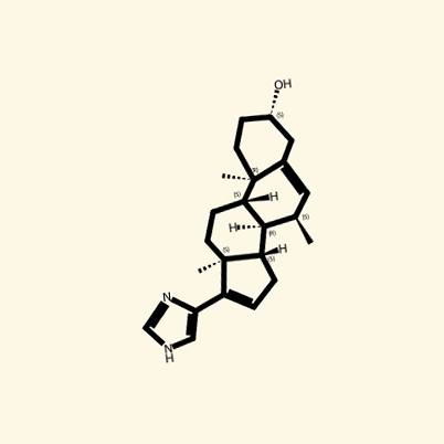 C[C@@H]1C=C2C[C@@H](O)CC[C@]2(C)[C@H]2CC[C@]3(C)C(c4c[nH]cn4)=CC[C@H]3[C@H]12